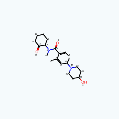 C/C=C(C(=O)N(C)C1CCCCC1=O)\C(C)=C/C(C)N1CCC(O)CC1